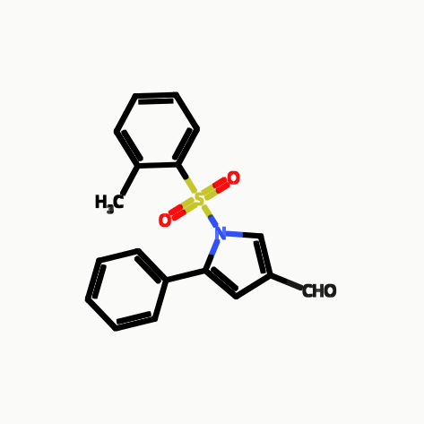 Cc1ccccc1S(=O)(=O)n1cc(C=O)cc1-c1ccccc1